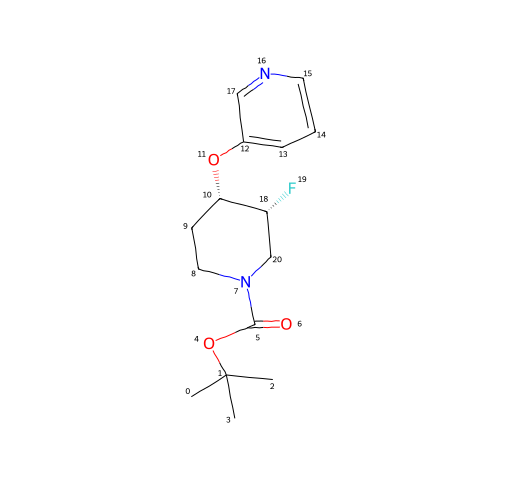 CC(C)(C)OC(=O)N1CC[C@H](Oc2cccnc2)[C@H](F)C1